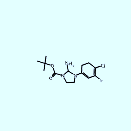 CC(C)(C)OC(=O)N1CCN(C2=CC(F)=C(Cl)CC2)C1N